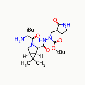 CC[C@H](C)[C@H](N)C(=O)N1C[C@H]2[C@@H]([C@H]1C(=O)NN(C[C@@H]1CCNC1=O)C(=O)OC(C)(C)C)C2(C)C